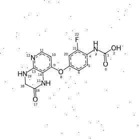 O=C(O)Nc1ccc(Oc2ccnc3c2NC(=O)CN3)cc1F